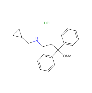 COC(CCNCC1CC1)(c1ccccc1)c1ccccc1.Cl